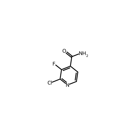 NC(=O)c1ccnc(Cl)c1F